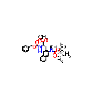 COC(=O)[C@@H](Cc1cc2ccccc2cc1N(C)C(=O)OC(C)(C)C)NC(=O)OCc1ccccc1